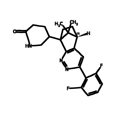 CC1(C)[C@H]2CCC1(C1CCC(=O)NC1)c1nnc(-c3c(F)cccc3F)cc12